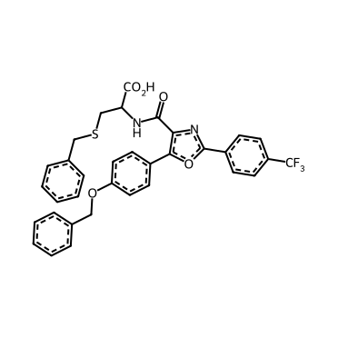 O=C(NC(CSCc1ccccc1)C(=O)O)c1nc(-c2ccc(C(F)(F)F)cc2)oc1-c1ccc(OCc2ccccc2)cc1